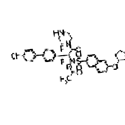 O=C([C@@H](N(OC(=O)C(F)(F)F)S(=O)(=O)c1ccc2cc(OC3CCCC3)ccc2c1)C(F)(F)c1ccc(-c2ccc(Cl)cc2)cc1)N1CCNCC1